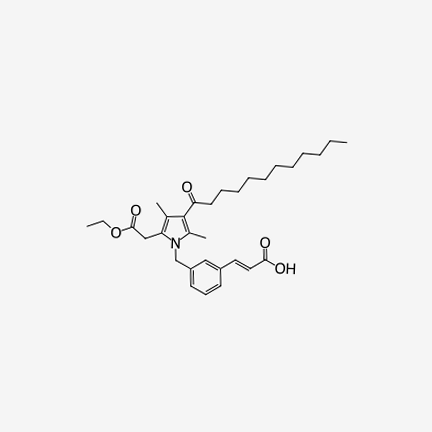 CCCCCCCCCCCC(=O)c1c(C)c(CC(=O)OCC)n(Cc2cccc(/C=C/C(=O)O)c2)c1C